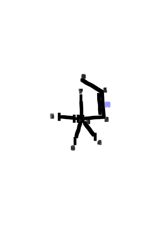 C/C=C\[SH](I)(I)(I)I